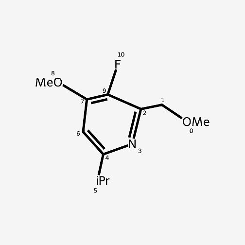 COCc1nc(C(C)C)cc(OC)c1F